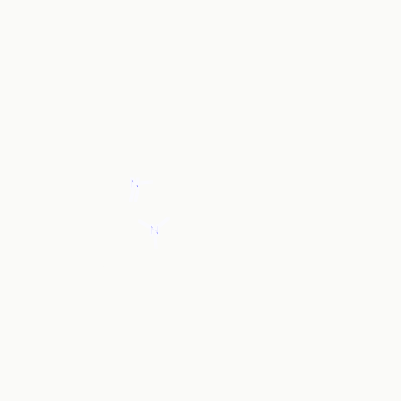 c1ccc(CCC(c2ccccc2)c2cn(Cc3ccccc3)cn2)cc1